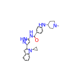 CN1CCC(Nc2ccc(C(=O)Nc3cc(-c4cc5ccccc5n4C4CC4)n[nH]3)cc2)CC1